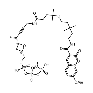 C=C(C#CCNC(=O)CCC(C)(C)OCCC(C)(C)CCNC(=O)c1cc2ccc(OC)cc2oc1=O)[C@H]1C[C@@H](COP(=O)(O)OP(=O)(O)OP(=O)(O)O)O1